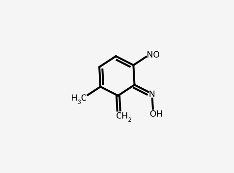 C=C1C(C)=CC=C(N=O)/C1=N/O